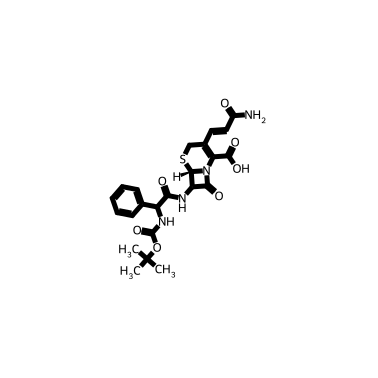 CC(C)(C)OC(=O)NC(C(=O)NC1C(=O)N2C(C(=O)O)=C(C=CC(N)=O)CS[C@@H]12)c1ccccc1